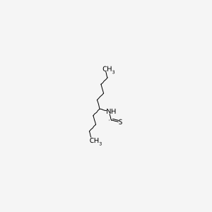 CCCCCC(CCCC)N[C]=S